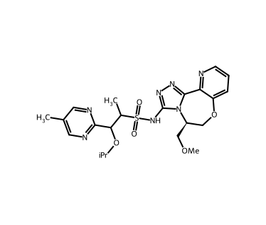 COC[C@@H]1COc2cccnc2-c2nnc(NS(=O)(=O)C(C)C(OC(C)C)c3ncc(C)cn3)n21